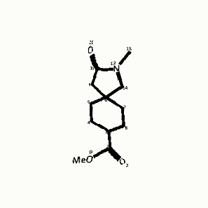 COC(=O)C1CCC2(CC1)CC(=O)N(C)C2